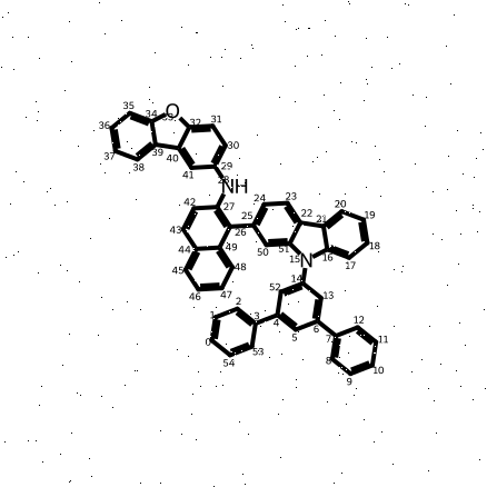 c1ccc(-c2cc(-c3ccccc3)cc(-n3c4ccccc4c4ccc(-c5c(Nc6ccc7oc8ccccc8c7c6)ccc6ccccc56)cc43)c2)cc1